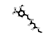 CCOC(=O)CC(=O)NCCc1ccc([N+](=O)[O-])c(OC)c1